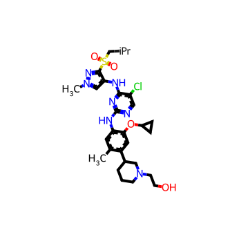 Cc1cc(Nc2ncc(Cl)c(Nc3cn(C)nc3S(=O)(=O)CC(C)C)n2)c(OC2CC2)cc1C1CCCN(CCO)C1